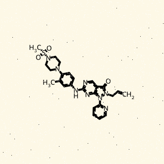 C=CCn1c(=O)c2cnc(Nc3ccc(N4CCN(S(C)(=O)=O)CC4)c(C)c3)nc2n1-c1ccccn1